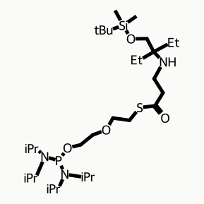 CCC(CC)(CO[Si](C)(C)C(C)(C)C)NCCC(=O)SCCOCCOP(N(C(C)C)C(C)C)N(C(C)C)C(C)C